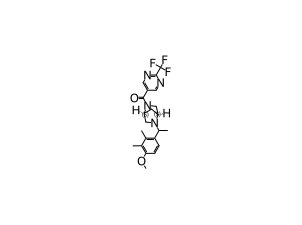 COc1ccc(C(C)N2C[C@@H]3C[C@H]2CN3C(=O)c2cnc(C(F)(F)F)nc2)c(C)c1C